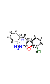 Nc1oc2c(Cl)cccc2c1/C=C1/C=CC=CC1